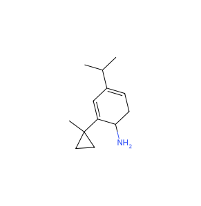 CC(C)C1=CCC(N)C(C2(C)CC2)=C1